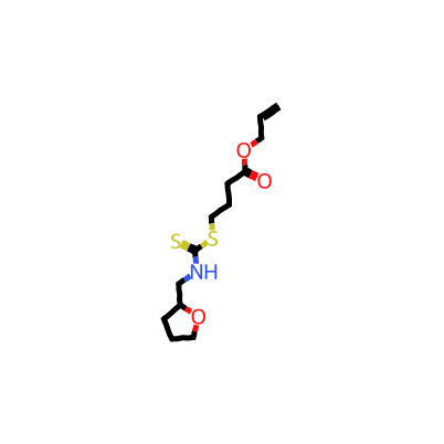 C=CCOC(=O)CCCSC(=S)NCC1CCCO1